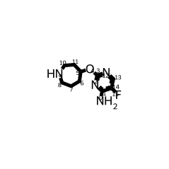 Nc1nc(OC2CCCNCC2)ncc1F